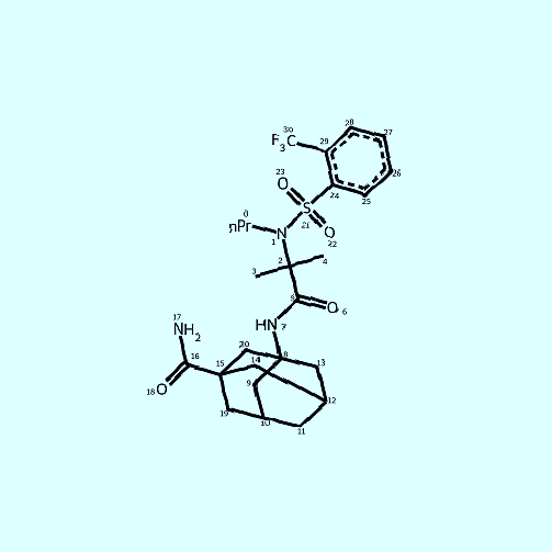 CCCN(C(C)(C)C(=O)NC12CC3CC(C1)CC(C(N)=O)(C3)C2)S(=O)(=O)c1ccccc1C(F)(F)F